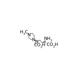 CN1CCN(N(CC[C@H](N)C(=O)O)C(=O)O)CC1